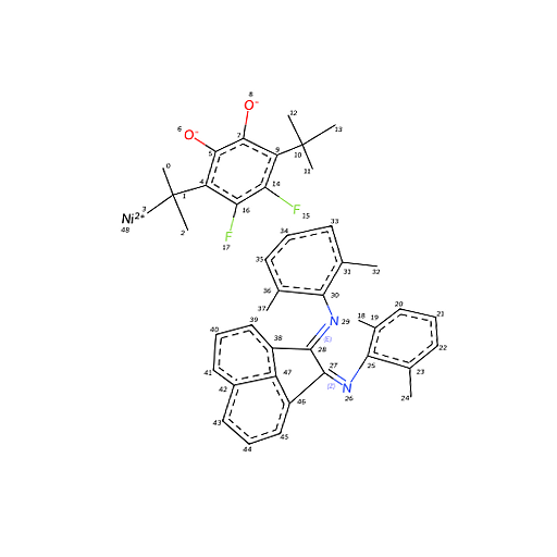 CC(C)(C)c1c([O-])c([O-])c(C(C)(C)C)c(F)c1F.Cc1cccc(C)c1/N=C1\C(=N\c2c(C)cccc2C)c2cccc3cccc1c23.[Ni+2]